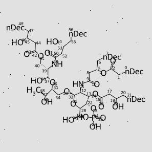 CCCCCCCCCCCC(=O)O[C@H](CCCCCCCCCCC)CC(=O)N[C@H]1C(OC(=O)C[C@H](O)CCCCCCCCCCC)[C@H](OP(=O)(O)O)C(CO)O[C@H]1OCC(OC(O)[C@H](COC(=O)C[C@H](O)CCCCCCCCCCC)NC(=O)C[C@H](O)CCCCCCCCCCC)[C@H](C)O